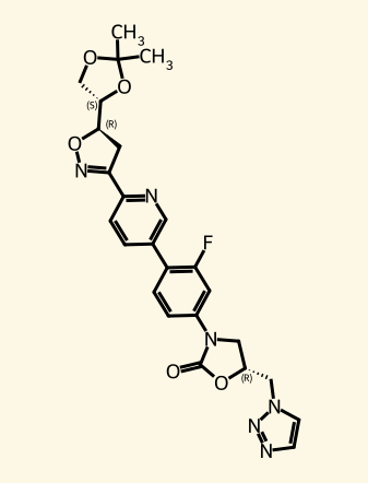 CC1(C)OC[C@@H]([C@H]2CC(c3ccc(-c4ccc(N5C[C@H](Cn6ccnn6)OC5=O)cc4F)cn3)=NO2)O1